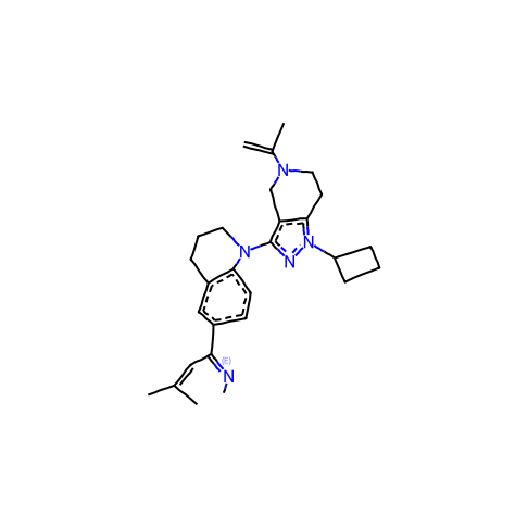 C=C(C)N1CCc2c(c(N3CCCc4cc(/C(C=C(C)C)=N/C)ccc43)nn2C2CCC2)C1